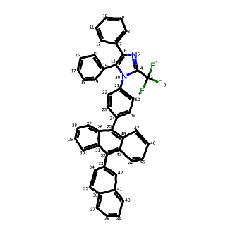 FC(F)(F)c1nc(-c2ccccc2)c(-c2ccccc2)n1-c1ccc(-c2c3ccccc3c(-c3ccc4ccccc4c3)c3ccccc23)cc1